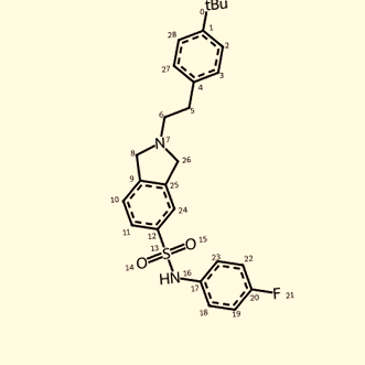 CC(C)(C)c1ccc(CCN2Cc3ccc(S(=O)(=O)Nc4ccc(F)cc4)cc3C2)cc1